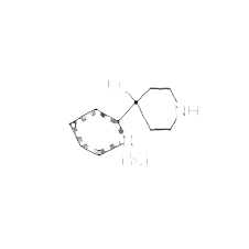 CCC1(c2ccccn2)CCNCC1.Cl